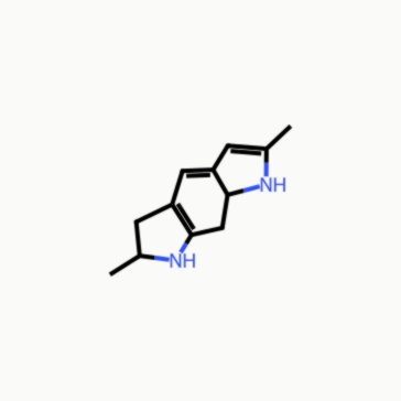 CC1=CC2=CC3=C(CC2N1)NC(C)C3